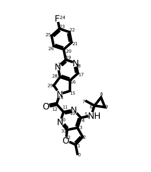 Cc1cc2c(NC3(C)CC3)nc(C(=O)N3Cc4cnc(-c5ccc(F)cc5)nc4C3)nc2o1